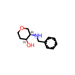 O[C@H]1CCOC[C@H]1NCc1ccccc1